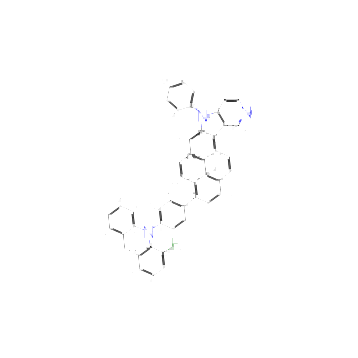 Cc1ccccc1N(c1ccc(-c2ccc3ccc4c5c(ccc2c35)cc2c4c3cnccc3n2-c2ccccc2)cc1)c1ccccc1F